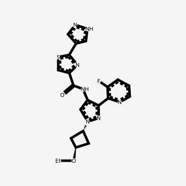 CCO[C@H]1C[C@H](n2cc(NC(=O)c3csc(-c4cn[nH]c4)n3)c(-c3ncccc3F)n2)C1